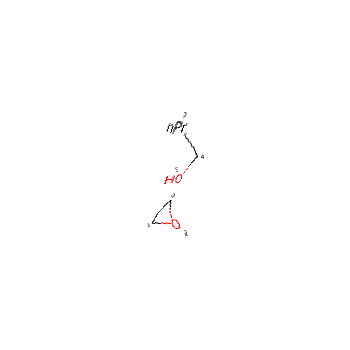 C1CO1.CCCCO